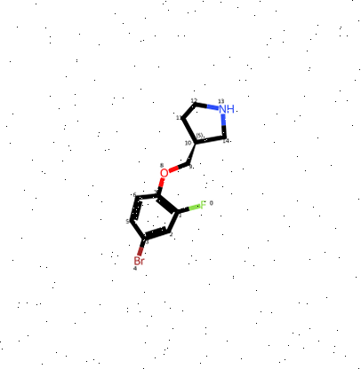 Fc1cc(Br)ccc1OC[C@H]1CCNC1